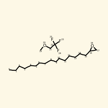 CCCCCCCCCCCCCCCCC1CO1.COCC(F)(F)F